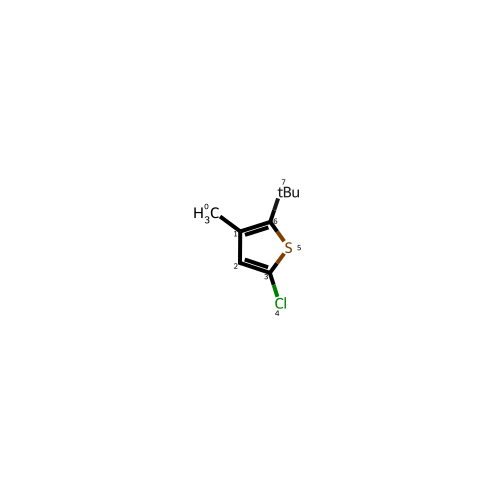 Cc1cc(Cl)sc1C(C)(C)C